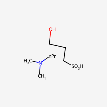 CCCN(C)C.O=S(=O)(O)CCCO